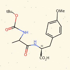 COc1ccc(C[C@H](NC(=O)C(C)NC(=O)OC(C)(C)C)C(=O)O)cc1